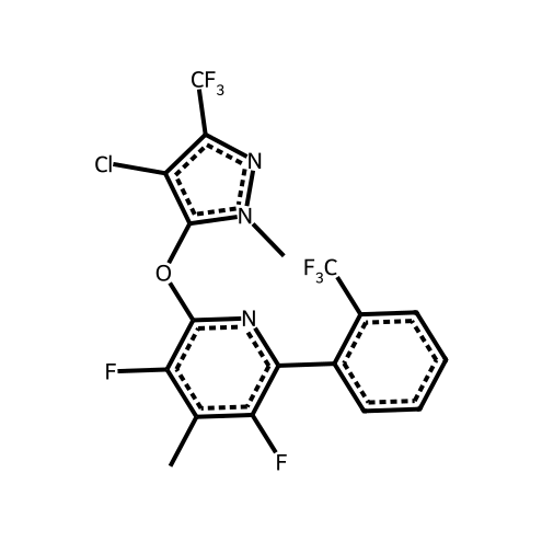 Cc1c(F)c(Oc2c(Cl)c(C(F)(F)F)nn2C)nc(-c2ccccc2C(F)(F)F)c1F